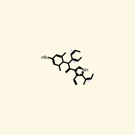 C=Cc1c(C(=C)C(C(/C=C\C)=C/C)C2C(C)=CC(CCCC)=CC2C)c[nH]c1/C(C)=C\C